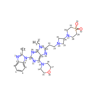 CCc1nc2ccccc2n1-c1nc(N2CCOCC2)c2nc(CCN3CC(N4CCS(=O)(=O)CC4)C3)n(C)c2n1